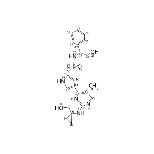 Cc1cnc(NC2(CO)CC2)nc1-c1c[nH]c(OC(=O)NC(CO)c2ccccc2)c1